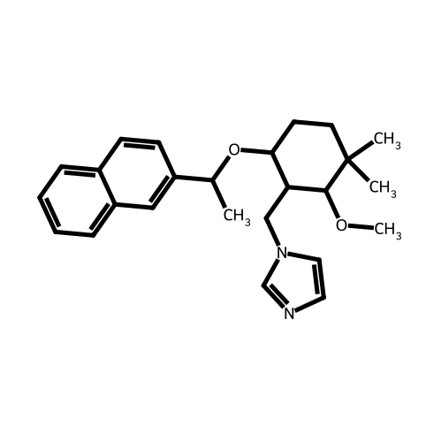 COC1C(Cn2ccnc2)C(OC(C)c2ccc3ccccc3c2)CCC1(C)C